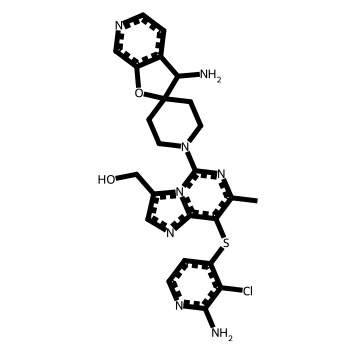 Cc1nc(N2CCC3(CC2)Oc2cnccc2C3N)n2c(CO)cnc2c1Sc1ccnc(N)c1Cl